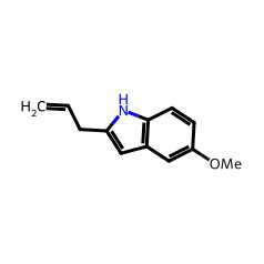 C=CCc1cc2cc(OC)ccc2[nH]1